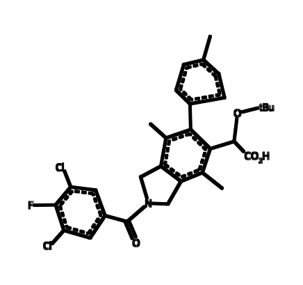 Cc1ccc(-c2c(C)c3c(c(C)c2C(OC(C)(C)C)C(=O)O)CN(C(=O)c2cc(Cl)c(F)c(Cl)c2)C3)cc1